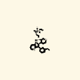 C=CS(=O)(=O)N(C)CCOc1cnccc1-c1[nH]c2cccnc2c1-c1cccc(CC)c1